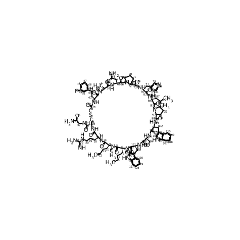 CCCC[C@H]1C(=O)N(C)[C@@H](CCCC)C(=O)N[C@@H](CCCNC(=N)N)C(=O)N[C@H](C(=O)NCC(N)=O)CSCC(=O)N[C@@H](CCc2cccc(F)c2)C(=O)N(C)[C@@H](C)C(=O)N[C@@H](CC(N)=O)C(=O)N2CCC[C@H]2C(=O)N[C@@H](Cc2cnc[nH]2)C(=O)N[C@@H](CC(C)C)C(=O)N2CCCC2C(=O)N[C@@H](Cc2c[nH]c3ccccc23)C(=O)N[C@@H](CO)C(=O)N[C@@H](Cc2c[nH]c3ccccc23)C(=O)N1C